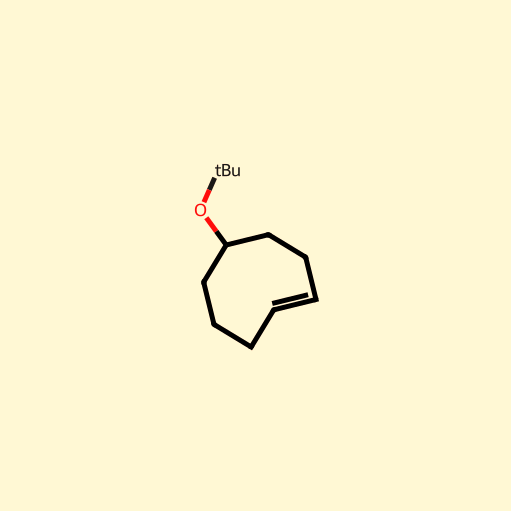 CC(C)(C)OC1CC/C=C/CCC1